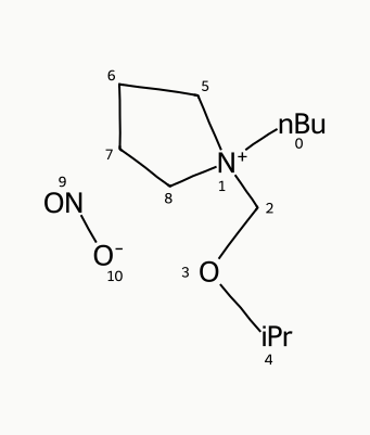 CCCC[N+]1(COC(C)C)CCCC1.O=N[O-]